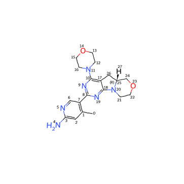 Cc1cc(N)ncc1-c1nc(N2CCOCC2)c2c(n1)N1CCOC[C@H]1C2